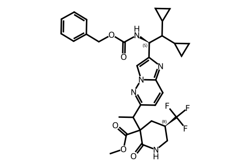 COC(=O)C1(C(C)c2ccc3nc([C@@H](NC(=O)OCc4ccccc4)C(C4CC4)C4CC4)cn3n2)C[C@@H](C(F)(F)F)CNC1=O